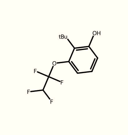 CC(C)(C)c1c(O)cccc1OC(F)(F)C(F)F